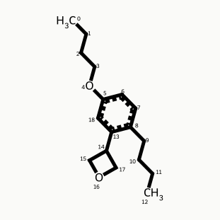 CCCCOc1ccc(CCCC)c(C2COC2)c1